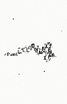 CCCCCNCc1ccc(OCC(=O)N2CCN(Cc3nc4ccccc4c(=O)n3-c3ccccc3OCC)CC2)cc1